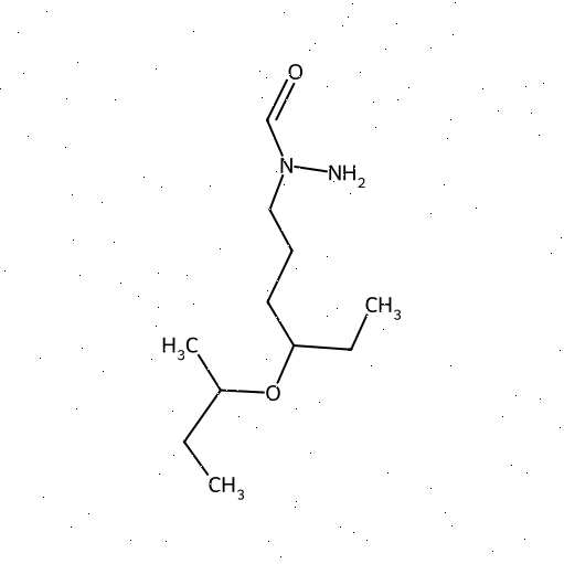 CCC(C)OC(CC)CCCN(N)C=O